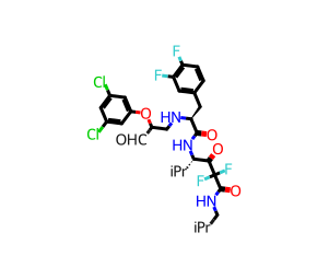 CC(C)CNC(=O)C(F)(F)C(=O)[C@@H](NC(=O)[C@H](Cc1ccc(F)c(F)c1)NCC(C=O)Oc1cc(Cl)cc(Cl)c1)C(C)C